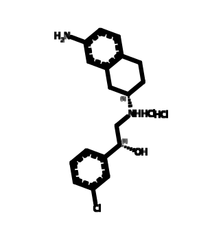 Cl.Cl.Nc1ccc2c(c1)C[C@@H](NC[C@H](O)c1cccc(Cl)c1)CC2